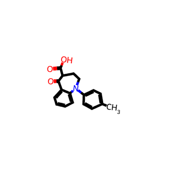 Cc1ccc(N2CCC(C(=O)O)C(=O)c3ccccc32)cc1